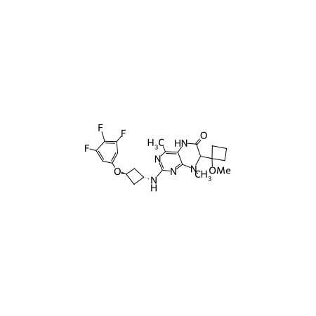 COC1(C2C(=O)Nc3c(C)nc(N[C@H]4C[C@H](Oc5cc(F)c(F)c(F)c5)C4)nc3N2C)CCC1